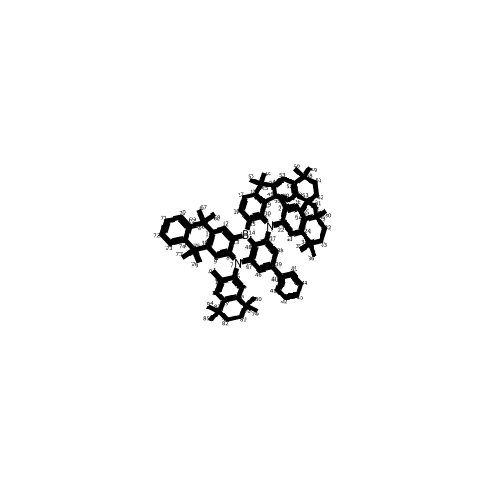 Cc1cc2c(cc1N1c3cc4c(cc3B3c5ccc6c(c5N(c5cc7c(cc5C)C(C)(C)CCC7(C)C)c5cc(-c7ccccc7)cc1c53)-c1cc3c(cc1C6(C)C)C(C)(C)CCC3(C)C)C(C)(C)c1ccccc1C4(C)C)C(C)(C)CCC2(C)C